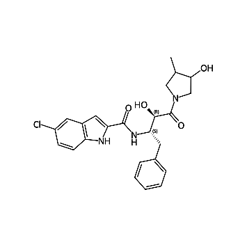 CC1CN(C(=O)[C@H](O)[C@H](Cc2ccccc2)NC(=O)c2cc3cc(Cl)ccc3[nH]2)CC1O